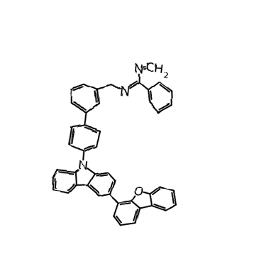 C=N/C(=N\Cc1cccc(-c2ccc(-n3c4ccccc4c4cc(-c5cccc6c5oc5ccccc56)ccc43)cc2)c1)c1ccccc1